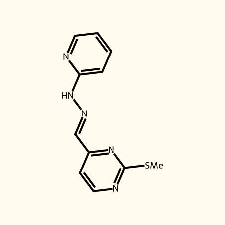 CSc1nccc(/C=N/Nc2ccccn2)n1